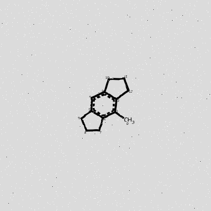 Cc1c2c([c]c3c1CCC3)CCC2